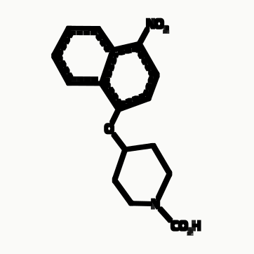 O=C(O)N1CCC(Oc2ccc([N+](=O)[O-])c3ccccc23)CC1